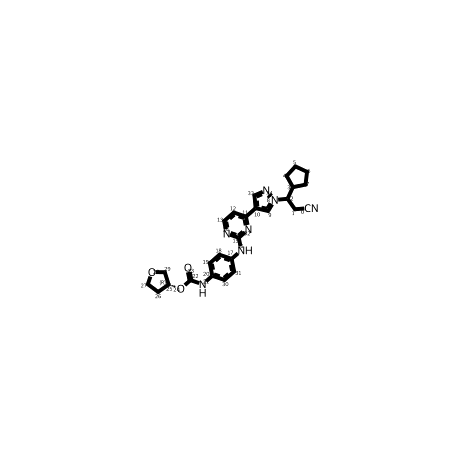 N#CCC(C1CCCC1)n1cc(-c2ccnc(Nc3ccc(NC(=O)O[C@@H]4CCOC4)cc3)n2)cn1